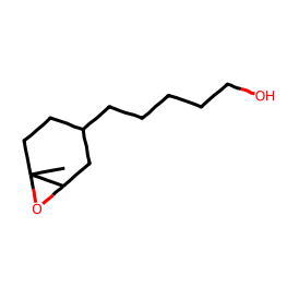 CC12CCC(CCCCCO)CC1O2